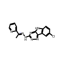 C/C(=N\Nc1nnc2c(n1)[nH]c1ccc(Cl)cc12)c1ccccn1